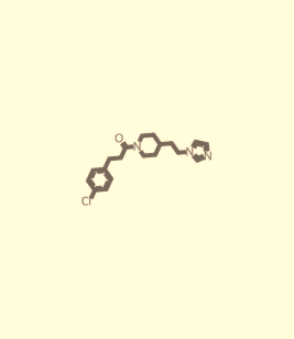 O=C(CCc1ccc(Cl)cc1)N1CCC(CCn2ccnc2)CC1